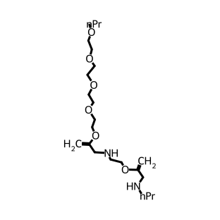 C=C(CNCCC)OCCNCC(=C)OCCOCCOCCOCCOCCC